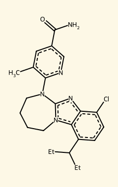 CCC(CC)c1ccc(Cl)c2nc3n(c12)CCCCN3c1ncc(C(N)=O)cc1C